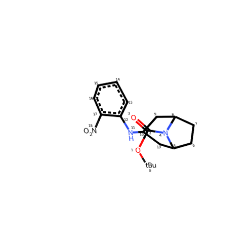 CC(C)(C)OC(=O)N1C2CCC1CC(Nc1ccccc1[N+](=O)[O-])C2